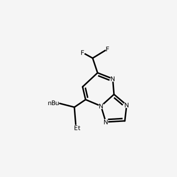 CCCCC(CC)c1cc(C(F)F)nc2ncnn12